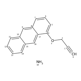 C#CCOc1cccc2cc3ccccc3cc12.N